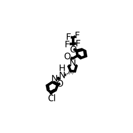 O=C(c1ccccc1OC(F)(F)C(F)F)N1CC[C@H](CNc2nc3ccc(Cl)cc3o2)C1